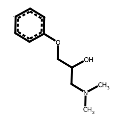 CN(C)CC(O)COc1cc[c]cc1